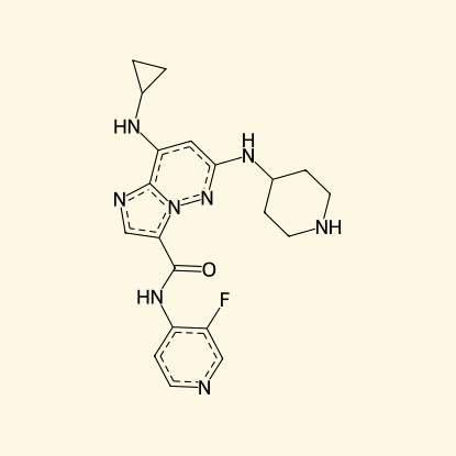 O=C(Nc1ccncc1F)c1cnc2c(NC3CC3)cc(NC3CCNCC3)nn12